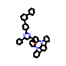 c1ccc(-c2cccc(-c3ccc(-c4nc(-c5ccccc5)cc(-c5ccc(-n6c7ccccc7c7ccc8c9ccccc9n(-c9ccccc9)c8c76)cc5)n4)cc3)c2)cc1